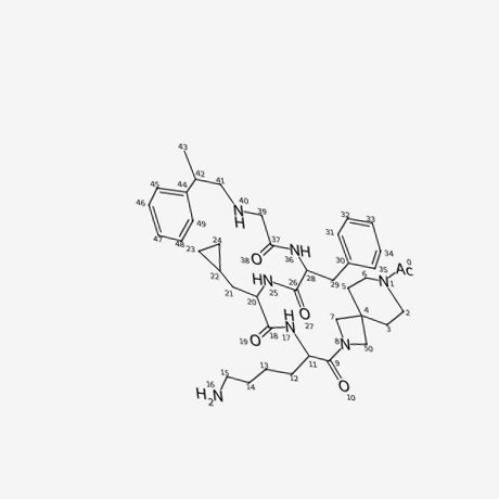 CC(=O)N1CCC2(CC1)CN(C(=O)C(CCCCN)NC(=O)C(CC1CC1)NC(=O)C(Cc1ccccc1)NC(=O)CNCC(C)c1ccccc1)C2